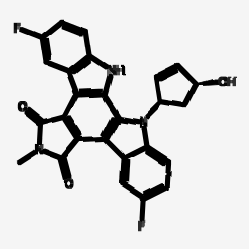 CN1C(=O)c2c(c3c4cc(F)ccc4n(C4C=C[C@@H](O)C4)c3c3[nH]c4ccc(F)cc4c23)C1=O